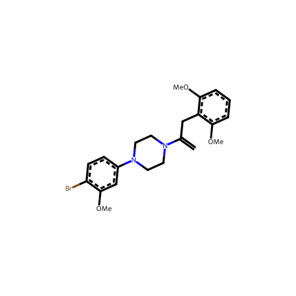 C=C(Cc1c(OC)cccc1OC)N1CCN(c2ccc(Br)c(OC)c2)CC1